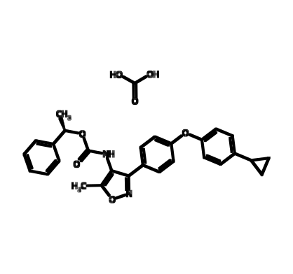 Cc1onc(-c2ccc(Oc3ccc(C4CC4)cc3)cc2)c1NC(=O)O[C@H](C)c1ccccc1.O=C(O)O